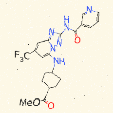 COC(=O)C1CCC(Nc2cc(C(F)(F)F)cc3nc(NC(=O)c4cccnc4)nn23)CC1